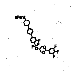 CCCCCC1CCC(c2ccc(-c3ccc(C(F)(F)OC4COC(c5cc(F)c(F)c(F)c5)OC4)c(F)c3)cc2)CC1